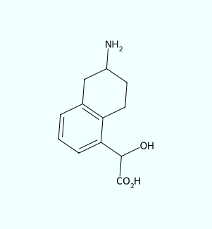 NC1CCc2c(cccc2C(O)C(=O)O)C1